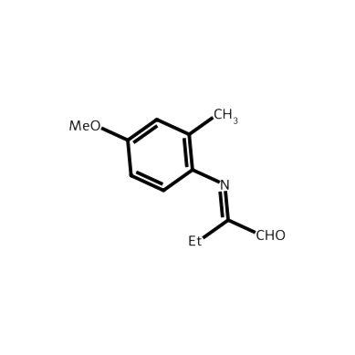 CC/C(C=O)=N\c1ccc(OC)cc1C